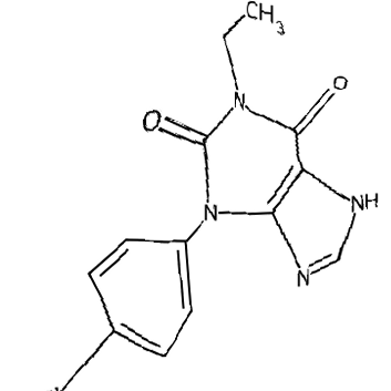 CCn1c(=O)c2[nH]cnc2n(-c2ccc(Cl)cc2)c1=O